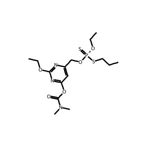 CCCS[P@@](=S)(OCC)OCc1cc(OC(=O)N(C)C)nc(OCC)n1